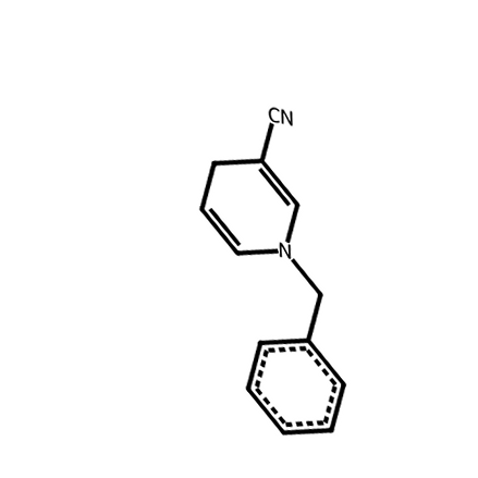 N#CC1=CN(Cc2ccccc2)C=CC1